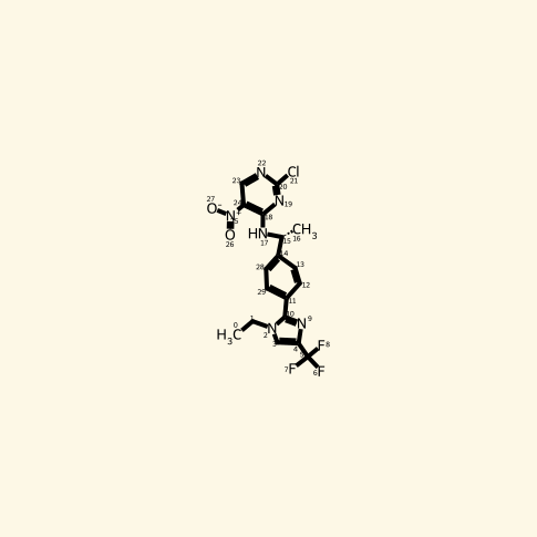 CCn1cc(C(F)(F)F)nc1-c1ccc([C@@H](C)Nc2nc(Cl)ncc2[N+](=O)[O-])cc1